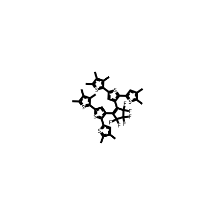 Cc1cc(-c2sc(-c3sc(C)c(C)c3C)cc2C2=C(c3cc(-c4sc(C)c(C)c4C)sc3-c3cc(C)c(C)s3)C(F)(F)C(F)(F)C2(F)F)sc1C